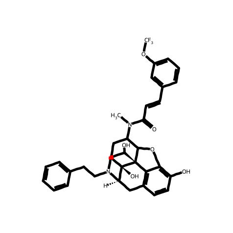 CN(C(=O)/C=C/c1cccc(OC(F)(F)F)c1)C1CC[C@@]2(O)[C@H]3Cc4ccc(O)c5c4[C@@]2(C(O)CN3CCc2ccccc2)C1O5